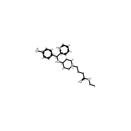 CCOC(=O)CCCN1CCC(OC(c2ccc(Cl)cc2)c2ccccn2)CC1